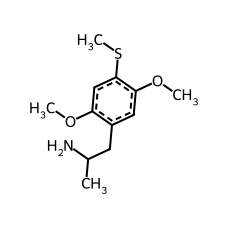 COc1cc(SC)c(OC)cc1CC(C)N